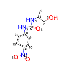 CC(CO)NC(=O)Nc1ccc([N+](=O)[O-])cc1